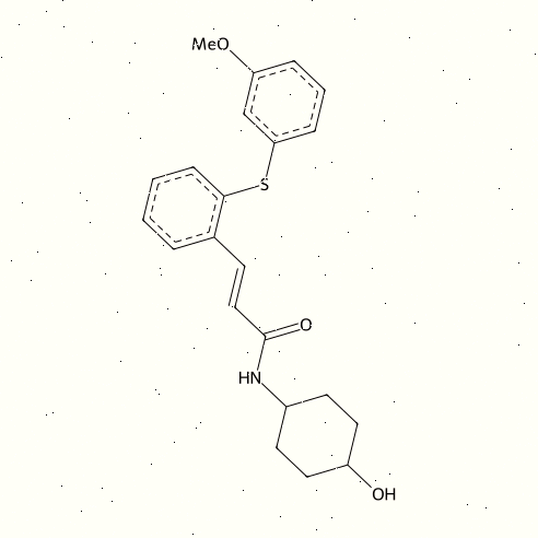 COc1cccc(Sc2ccccc2C=CC(=O)NC2CCC(O)CC2)c1